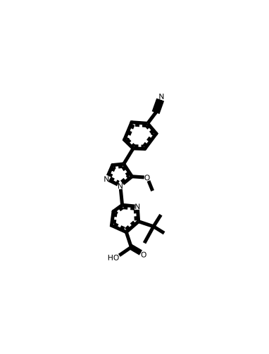 COc1c(-c2ccc(C#N)cc2)cnn1-c1ccc(C(=O)O)c(C(C)(C)C)n1